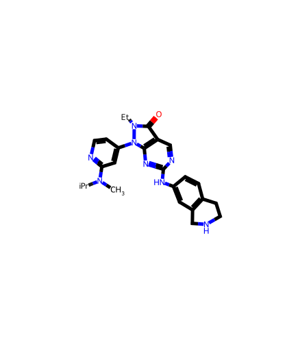 CCn1c(=O)c2cnc(Nc3ccc4c(c3)CNCC4)nc2n1-c1ccnc(N(C)C(C)C)c1